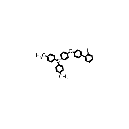 Cc1ccc([S+](c2ccc(C)cc2)c2ccc(Oc3ccc(-c4ccccc4I)cc3)cc2)cc1